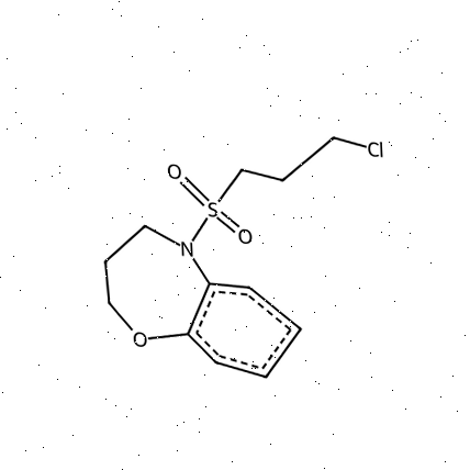 O=S(=O)(CCCCl)N1CCCOc2ccccc21